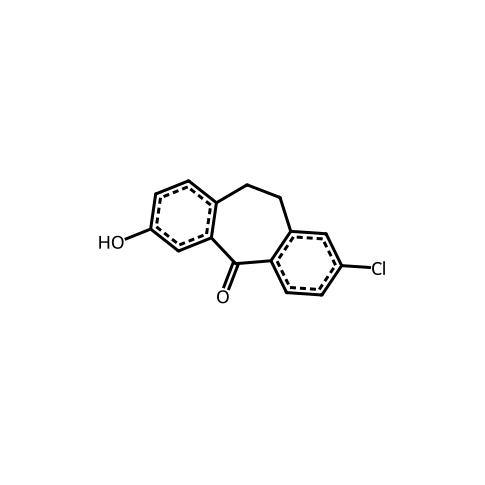 O=C1c2ccc(Cl)cc2CCc2ccc(O)cc21